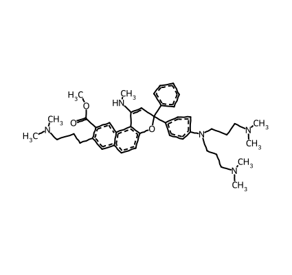 CNC1=CC(c2ccccc2)(c2ccc(N(CCCN(C)C)CCCN(C)C)cc2)Oc2ccc3cc(CCCN(C)C)c(C(=O)OC)cc3c21